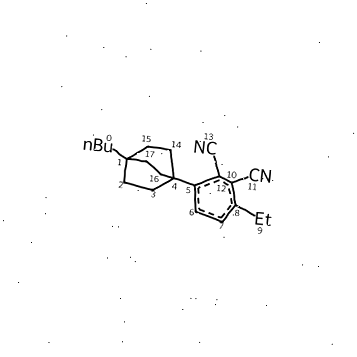 CCCCC12CCC(c3ccc(CC)c(C#N)c3C#N)(CC1)CC2